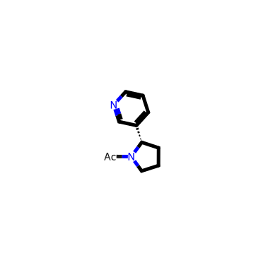 CC(=O)N1CCC[C@H]1c1cccnc1